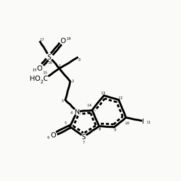 CC(CCn1c(=O)sc2cc(I)ccc21)(C(=O)O)S(C)(=O)=O